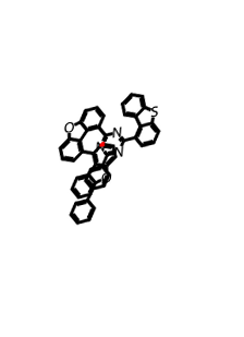 c1ccc(-c2ccc(-c3nc(-c4cccc5sc6ccccc6c45)nc(-c4cccc5oc6cccc(-c7cccc8oc9ccccc9c78)c6c45)n3)cc2)cc1